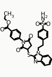 CCOC(=O)c1ccc(N2C(=O)CC(Sc3nc4ccccc4n3CCc3ccc(S(N)(=O)=O)cc3)C2=O)cc1